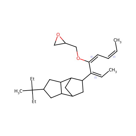 C\C=C/C=C(OCC1CO1)\C(=C/C)C1CC2CC1C1CC(C(C)(CC)CC)CC21